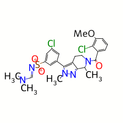 COc1cccc(C(=O)N2CCc3c(nn(C)c3-c3cc(Cl)cc(S(=O)(=O)N=CN(C)C)c3)C2C)c1Cl